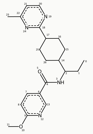 CCC(NC(=O)c1ccc(OC)nc1)C1CCC(c2nccc(C)n2)CC1